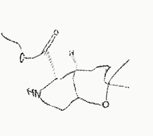 COC(=O)[C@H]1NCC2OC(C)(C)C[C@@H]21